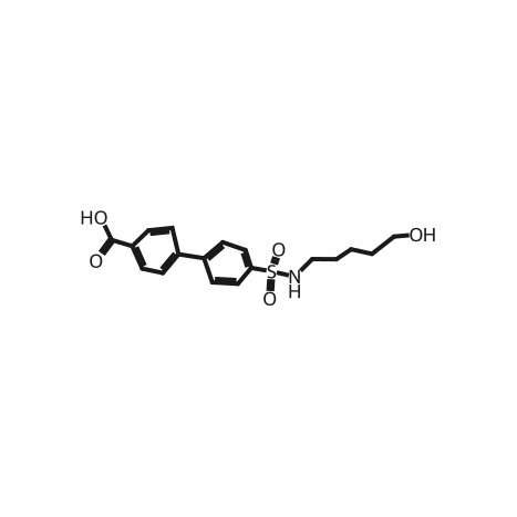 O=C(O)c1ccc(-c2ccc(S(=O)(=O)NCCCCCO)cc2)cc1